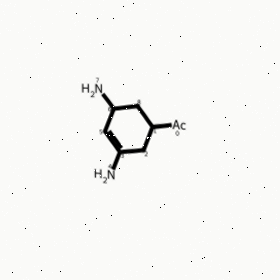 CC(=O)C1CC(N)=CC(N)C1